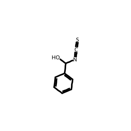 OC(N=C=S)c1ccccc1